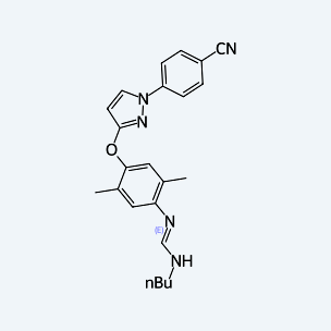 CCCCN/C=N/c1cc(C)c(Oc2ccn(-c3ccc(C#N)cc3)n2)cc1C